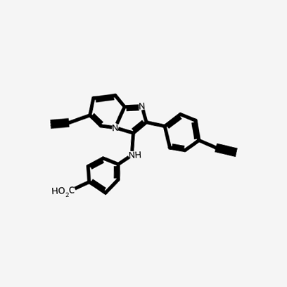 C#Cc1ccc(-c2nc3ccc(C#C)cn3c2Nc2ccc(C(=O)O)cc2)cc1